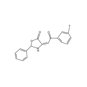 O=C1OC(c2ccccc2)N/C1=C/C(=O)c1cccc(F)c1